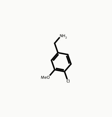 COc1cc(CN)[c]cc1Cl